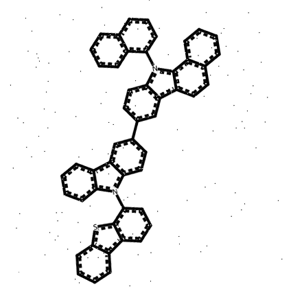 c1ccc2c(-n3c4ccc(-c5ccc6c(c5)c5ccccc5n6-c5cccc6c5sc5ccccc56)cc4c4ccc5ccccc5c43)cccc2c1